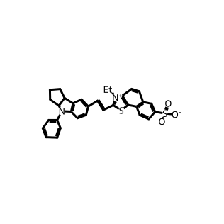 CC[n+]1c(/C=C/c2ccc3c(c2)C2CCCC2N3c2ccccc2)sc2c3ccc(S(=O)(=O)[O-])cc3ccc21